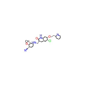 COc1cc(NCc2cc3cc(Cl)c(OCCc4ccccn4)cc3[nH]c2=O)ccc1C#N